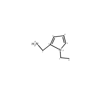 CCn1cccc1CN